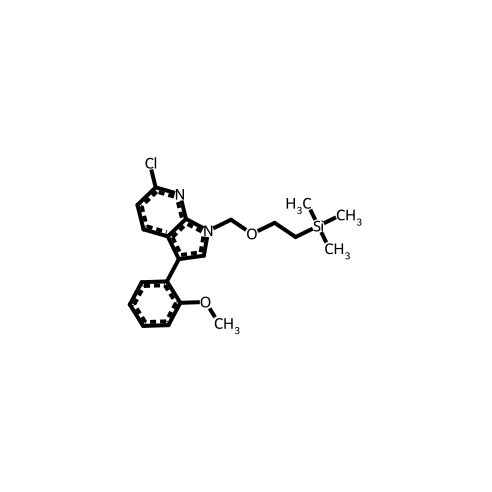 COc1ccccc1-c1cn(COCC[Si](C)(C)C)c2nc(Cl)ccc12